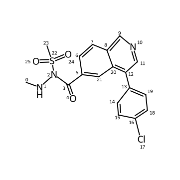 CNN(C(=O)c1ccc2cncc(-c3ccc(Cl)cc3)c2c1)S(C)(=O)=O